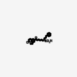 O=C(CCCCCN(CCCc1ccccc1)C(=O)O)c1cc2c3c(c1)CCN3C(=O)CC2